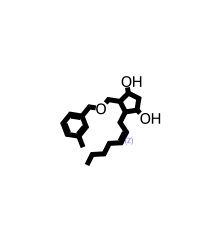 CCCC/C=C\CC1C(O)CC(O)C1COCc1cccc(C)c1